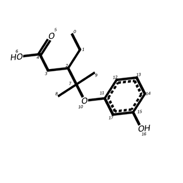 CCC(CC(=O)O)C(C)(C)Oc1cccc(O)c1